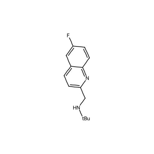 CC(C)(C)NCc1ccc2cc(F)ccc2n1